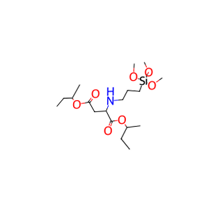 CCC(C)OC(=O)CC(NCCC[Si](OC)(OC)OC)C(=O)OC(C)CC